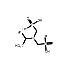 CC(C)C(C(=O)O)N(CP(=O)(O)O)CP(=O)(O)O